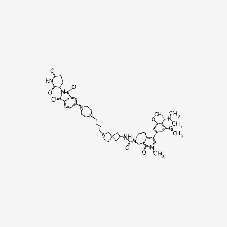 COc1cc(-c2cn(C)c(=O)c3c2CCN(C(=O)NC2CC4(CCN(CCCCN5CCN(c6ccc7c(c6)C(=O)N(C6CCC(=O)NC6=O)C7=O)CC5)C4)C2)C3)cc(OC)c1CN(C)C